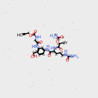 C#CCOC(=O)NCC(=O)Nc1cc(NC(=O)C(CCCNC(N)=O)NC(=O)C(OC(N)=O)C(C)C)ccc1CO